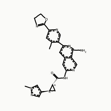 Cc1cc(C2=NCCO2)ncc1-c1cc2cc(NC(=O)[C@@H]3C[C@H]3c3cnn(C)c3)ncc2c(N)n1